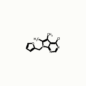 Cc1c(C)n(Cc2ccco2)c2ncnc(Cl)c12